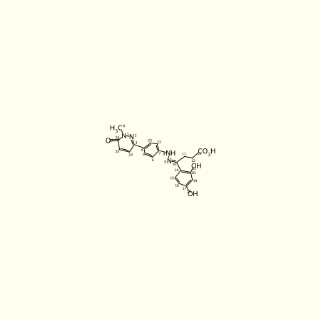 Cn1nc(-c2ccc(N/N=C(\CCC(=O)O)c3ccc(O)cc3O)cc2)ccc1=O